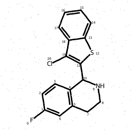 Fc1ccc2c(c1)CCNC2c1sc2ccccc2c1Cl